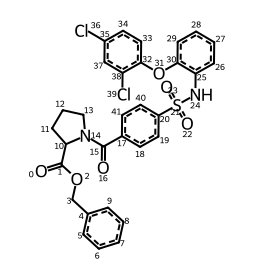 O=C(OCc1ccccc1)C1CCCN1C(=O)c1ccc(S(=O)(=O)Nc2ccccc2Oc2ccc(Cl)cc2Cl)cc1